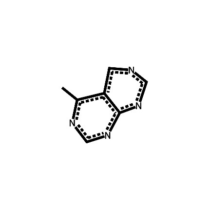 Cc1ncnc2ncncc12